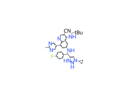 Cc1ncc(-c2cc(NC(C3=CN(C4CC4)NN3)c3ccc(F)cc3)cc3c(NCC(C)(C)C)c(C#N)cnc23)cn1